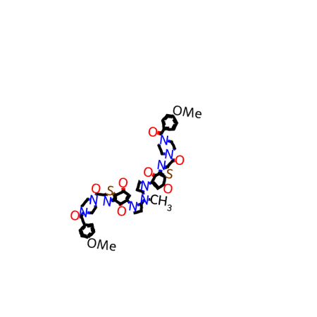 COc1ccc(C(=O)N2CCN(C(=O)c3nc4c(s3)C(=O)C=C(N3CCC3N(C)C3CCN3C3=CC(=O)c5sc(C(=O)N6CCN(C(=O)c7ccc(OC)cc7)CC6)nc5C3=O)C4=O)CC2)cc1